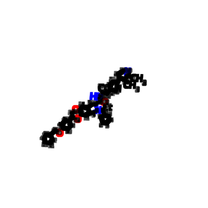 CC[C@@H](c1ccccc1)N1Cc2cc3c(cc2C[C@H]1C(=O)N[C@@H](Cc1ccc(-c2ccnc(C)c2C)cc1)C(=O)O)OC[C@H](c1ccc(OCc2ccccc2)cc1)O3